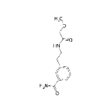 COCC(=O)NCCc1cccc(C(N)=O)c1